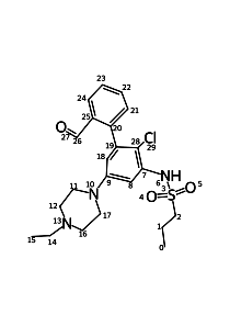 CCCS(=O)(=O)Nc1cc(N2CCN(CC)CC2)cc(-c2ccccc2C=O)c1Cl